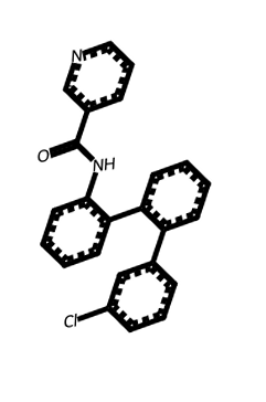 O=C(Nc1ccccc1-c1ccccc1-c1cccc(Cl)c1)c1cccnc1